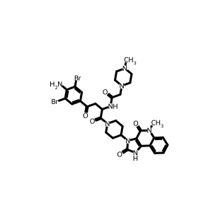 CN1CCN(CC(=O)NC(CC(=O)c2cc(Br)c(N)c(Br)c2)C(=O)N2CCC(n3c(=O)[nH]c4c5ccccc5n(C)c(=O)c43)CC2)CC1